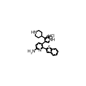 Cl.Cl.Nc1ccc(-c2c[nH]nc2C2CCNCC2)c(-c2cc3ccccc3s2)n1